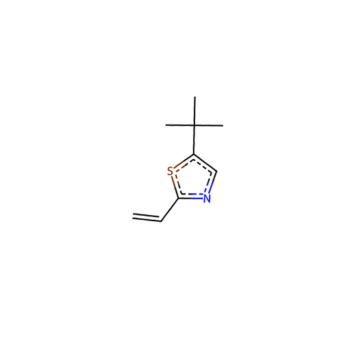 C=Cc1ncc(C(C)(C)C)s1